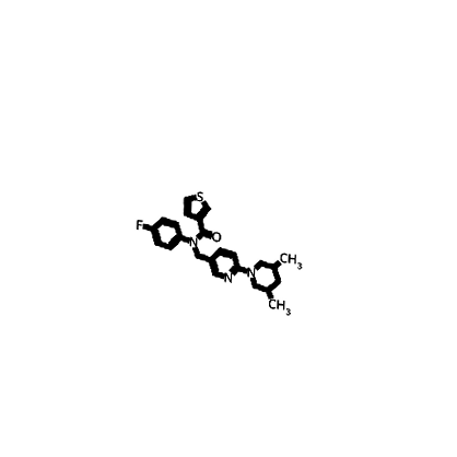 CC1CC(C)CN(c2ccc(CN(C(=O)c3ccsc3)c3ccc(F)cc3)cn2)C1